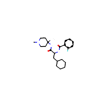 CN1CCC(C#N)(NC(=O)C(CC2CCCCC2)NC(=O)c2ccccc2F)CC1